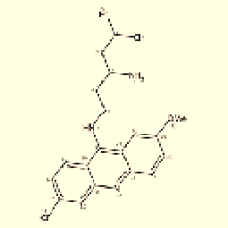 CCC(Cl)CC(N)CCNc1c2ccc(Cl)cc2nc2ccc(OC)cc12